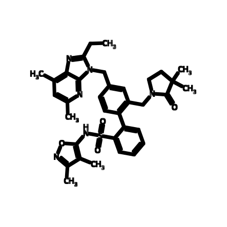 CCc1nc2c(C)cc(C)nc2n1Cc1ccc(-c2ccccc2S(=O)(=O)Nc2onc(C)c2C)c(CN2CCC(C)(C)C2=O)c1